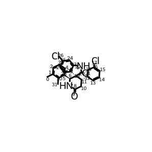 Cc1cccc([C@@H]2NC(=O)C[C@@H](C3C=CC=C(Cl)C3)[C@]23C(=O)Nc2cc(Cl)ccc23)c1C